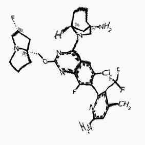 Cc1cc(N)nc(-c2c(Cl)cc3c(N4C[C@@]5(N)CC[C@@H]4C5)nc(OC[C@]45CCCN4C[C@H](F)C5)nc3c2F)c1C(F)(F)F